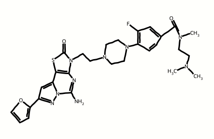 CN(C)CCN(C)C(=O)c1ccc(N2CCN(CCn3c(=O)sc4c3nc(N)n3nc(-c5ccco5)cc43)CC2)c(F)c1